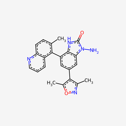 Cc1ccc2ncccc2c1-c1cc(-c2c(C)noc2C)cc2c1[nH]c(=O)n2N